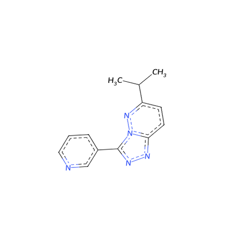 CC(C)c1ccc2nnc(-c3cccnc3)n2n1